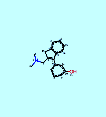 CN(C)CC1=C(c2cccc(O)c2)c2ccccc2C1